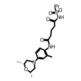 Cc1cc(N2C[C@@H](C)O[C@@H](C)C2)ccc1NC(=O)CCCC(=O)NS(=O)(=O)C(C)C